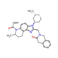 COC(=O)N1c2ccc3c(nc(CN4Cc5ccccc5CC4=O)n3[C@@H]3CCC[C@@H](C(=O)O)C3)c2CCC1C